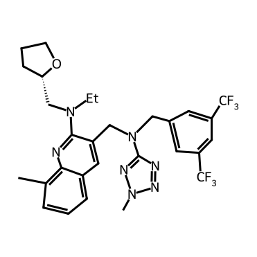 CCN(C[C@@H]1CCCO1)c1nc2c(C)cccc2cc1CN(Cc1cc(C(F)(F)F)cc(C(F)(F)F)c1)c1nnn(C)n1